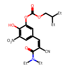 CCC(CC)COC(=O)Oc1cc(C=C(C#N)C(=O)N(CC)CC)cc([N+](=O)[O-])c1O